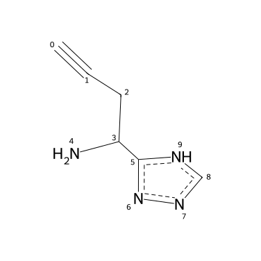 C#CCC(N)c1nnc[nH]1